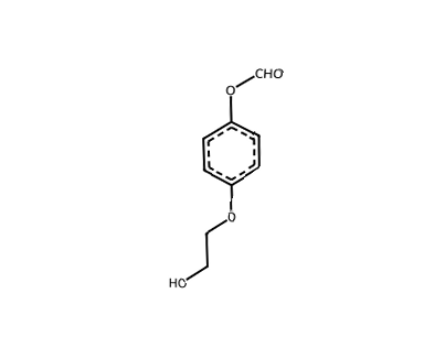 O=COc1ccc(OCCO)cc1